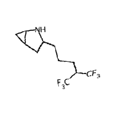 FC(F)(F)C(CCCC1CC2CC2N1)C(F)(F)F